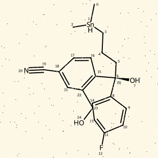 [CH3][SnH]([CH3])[CH2]CC[C@](O)(c1ccc(F)cc1)c1ccc(C#N)cc1CO